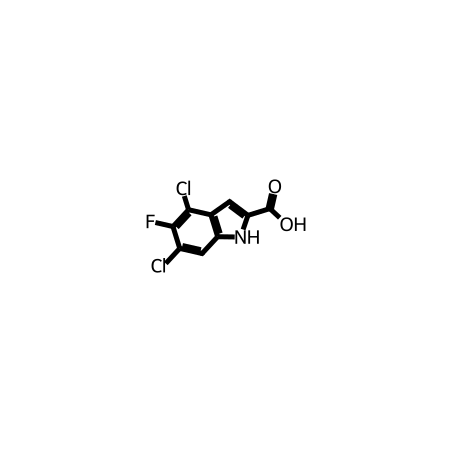 O=C(O)c1cc2c(Cl)c(F)c(Cl)cc2[nH]1